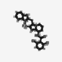 O=C(Nc1cccn2c(Cc3nc4cccnc4[nH]3)c(C(F)(F)F)nc12)c1c(Cl)cccc1Cl